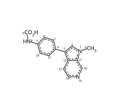 Cn1cc(-c2ccc(NC(=O)O)cc2)c2ccncc21